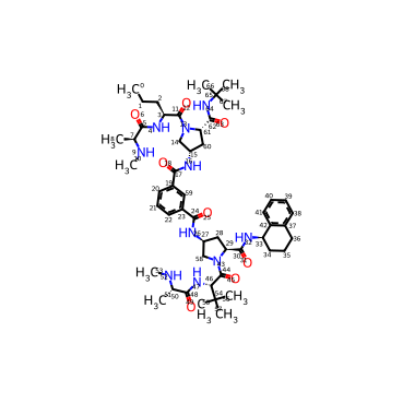 CCC[C@H](NC(=O)[C@H](C)NC)C(=O)N1C[C@@H](NC(=O)c2cccc(C(=O)N[C@H]3C[C@@H](C(=O)N[C@@H]4CCCc5ccccc54)N(C(=O)[C@@H](NC(=O)[C@H](C)NC)C(C)(C)C)C3)c2)C[C@H]1C(=O)NC(C)(C)C